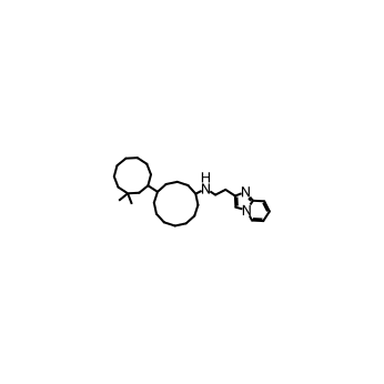 CC1(C)CCCCCCCC(C2CCCCCCCC(NCCc3cn4ccccc4n3)CCC2)C1